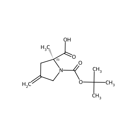 C=C1CN(C(=O)OC(C)(C)C)[C@](C)(C(=O)O)C1